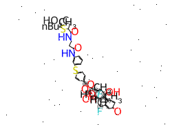 CCCCC(C)SC(CC(=O)O)C(=O)NCCC(=O)Nc1cccc(Sc2ccc([C@@H]3O[C@@H]4C[C@H]5[C@@H]6C[C@H](F)C7=CC(=O)C=C[C@]7(C)[C@@]6(F)[C@@H](O)C[C@]5(C)[C@]4(C(=O)CO)O3)cc2)c1